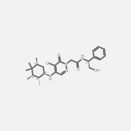 C[C@@H]1[C@@H](C)C(C)(C)[C@@H](C)C[C@H]1Nc1cnn(CC(=O)N[C@H](CO)c2ccccc2)c(=O)c1Cl